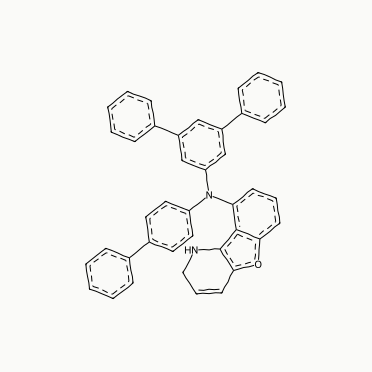 C1=Cc2oc3cccc(N(c4ccc(-c5ccccc5)cc4)c4cc(-c5ccccc5)cc(-c5ccccc5)c4)c3c2NC1